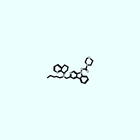 CCCCCN(Cc1cc2c3ccccc3n(OC(=O)N3CCOCC3)c2cn1)[C@@H]1CCCc2cccnc21